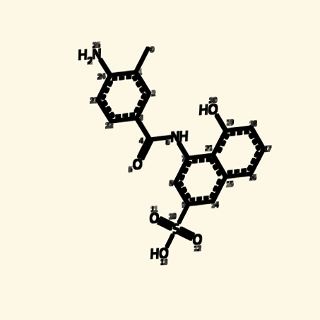 Cc1cc(C(=O)Nc2cc(S(=O)(=O)O)cc3cccc(O)c23)ccc1N